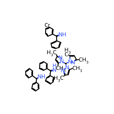 Cc1cc(C)n(C(n2nc(C)cc2C)n2nc(C)cc2C)n1.N=C(c1ccccc1)c1ccccc1.N=C(c1ccccc1)c1ccccc1.N=C(c1ccccc1)c1ccccc1.[Cr]